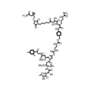 CC[C@H](C)[C@@H]([C@@H](CC(=O)N1C[C@@H](OC(=O)NCCNC(=O)OCc2ccc(NC(=O)[C@H](CCCNC(N)=O)NC(=O)[C@@H](NC(=O)CCCCCN3C(=O)CC(SCC4(CC(N)=O)CC4)C3=O)C(C)C)cc2)C[C@H]1[C@H](OC)[C@@H](C)C(=O)NCC(=O)c1ccc(C)cc1C)OC)N(C)C(=O)[C@@H](NC(=O)[C@H](C(C)C)N(C)C)C(C)C